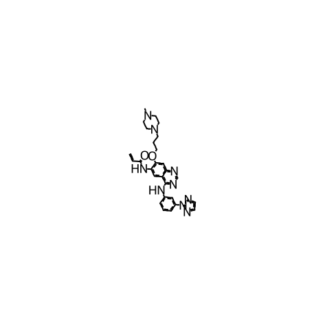 C=CC(=O)Nc1cc2c(Nc3cccc(-n4nccn4)c3)ncnc2cc1OCCCN1CCN(C)CC1